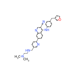 CN(C)CCNCc1ccc(-c2ccc3c(Nc4ccc(Cc5ccoc5)cc4)c(C#N)cnc3c2)nc1